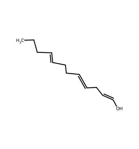 CCCC=CCCC=CCC=CO